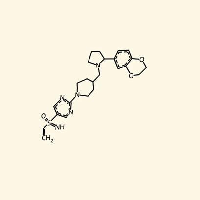 C=CS(=N)(=O)c1cnc(N2CCC(CN3CCCC3c3ccc4c(c3)OCCO4)CC2)nc1